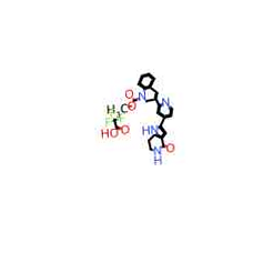 COC(=O)N1CC(c2cc(-c3cc4c([nH]3)CCNC4=O)ccn2)=Cc2ccccc21.O=C(O)C(F)(F)F